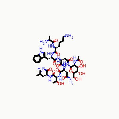 CC(=O)NC1[C@H](NC(=O)C[C@H](NC(=O)[C@H](Cc2c[nH]c3ccccc23)NC(=O)[C@H](CCCCN)NC(=O)[C@H](C)N)C(=O)N[C@@H](CC(N)=O)C(=O)N[C@H](C(=O)N[C@@H](CC(C)C)C(N)=O)C(C)O)OC(CO)[C@@H](O)[C@@H]1O